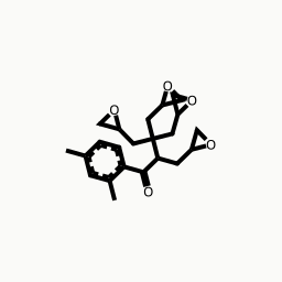 Cc1ccc(C(=O)C(CC2CO2)C(CC2CO2)(CC2CO2)CC2CO2)c(C)c1